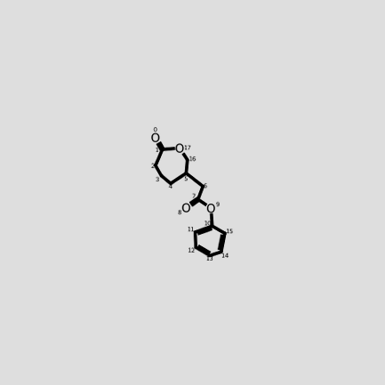 O=C1CCCC(CC(=O)Oc2ccccc2)CO1